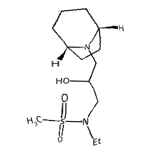 CCN(CC(O)CN1[C@@H]2C[CH]C[C@H]1CC2)S(C)(=O)=O